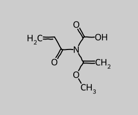 C=CC(=O)N(C(=C)OC)C(=O)O